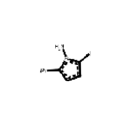 CC(C)c1ccc(I)n1N